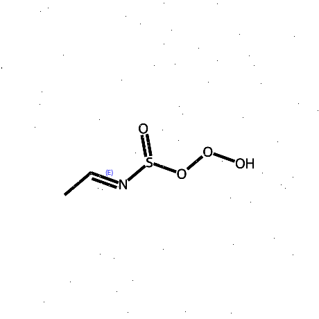 C/C=N/S(=O)OOO